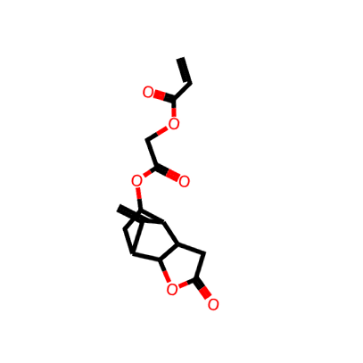 C=CC(=O)OCC(=O)OC1CC2C(=C)C1C1CC(=O)OC21